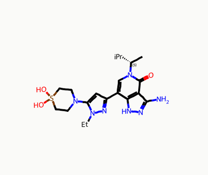 CCn1nc(-c2cn([C@@H](C)C(C)C)c(=O)c3c(N)n[nH]c23)cc1N1CCS(O)(O)CC1